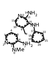 CNc1ncccc1N.Cc1ccnc(N)c1Nc1ccccc1